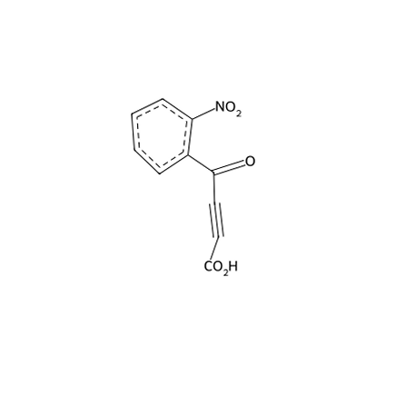 O=C(O)C#CC(=O)c1ccccc1[N+](=O)[O-]